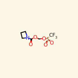 O=C(OCOS(=O)(=O)C(F)(F)F)N1CCC1